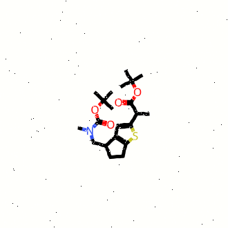 CC(C(=O)OC(C)(C)C)c1cc2c(s1)CCC2CN(C)C(=O)OC(C)(C)C